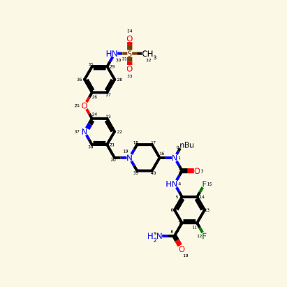 CCCCN(C(=O)Nc1cc(C(N)=O)c(F)cc1F)C1CCN(Cc2ccc(Oc3ccc(NS(C)(=O)=O)cc3)nc2)CC1